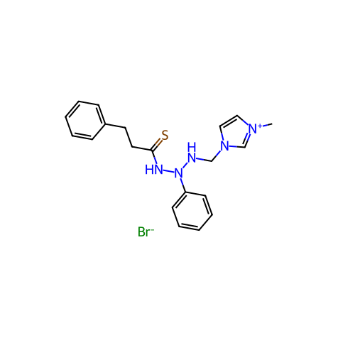 C[n+]1ccn(CNN(NC(=S)CCc2ccccc2)c2ccccc2)c1.[Br-]